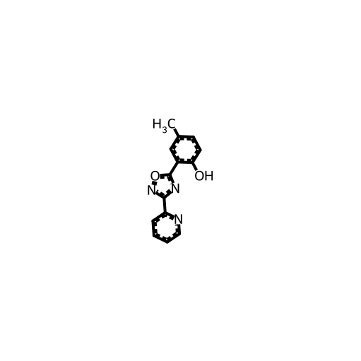 Cc1ccc(O)c(-c2nc(-c3ccccn3)no2)c1